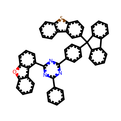 c1ccc(-c2nc(-c3ccc(C4(c5ccc6sc7ccccc7c6c5)c5ccccc5-c5ccccc54)cc3)nc(-c3cccc4oc5ccccc5c34)n2)cc1